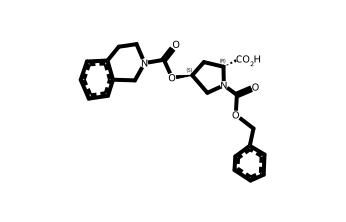 O=C(O)[C@H]1C[C@H](OC(=O)N2CCc3ccccc3C2)CN1C(=O)OCc1ccccc1